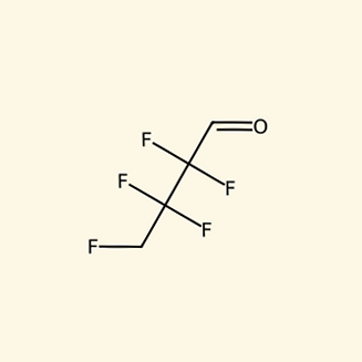 O=CC(F)(F)C(F)(F)CF